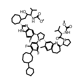 COC(=O)N[C@@H](C(C)C)C(O)CC1CCCCC[C@H]1c1nc2cc([C@H]3CC[C@H](c4cc5c(cc4C)CCCC([C@@H]4CCCN4C(=O)[C@@H](NC(=O)OC)C(C)C)=N5)N3c3cc(F)c(C4CCCCC(C5CCCCC5)CC4)c(F)c3)c(F)cc2[nH]1